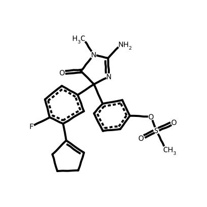 CN1C(=O)C(c2cccc(OS(C)(=O)=O)c2)(c2ccc(F)c(C3=CCCC3)c2)N=C1N